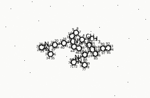 CC1(C)c2cc(-c3cccc4ccc5c(-c6ccc(-c7ccc(-c8nc9ccccc9n8-c8ccccc8)cc7)cc6)c6ccc7ccccc7c6nc5c34)ccc2-c2cc3c(-c4ccc(-c5nc6ccccc6n5-c5ccccc5)cc4)c4cccc(-c5ccc6ccccc6c5)c4cc3cc21